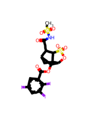 CS(=O)(=O)NC(=O)C1C2CC3C(OS(=O)(=O)C31)C2OC(=O)c1cc(I)cc(I)c1I